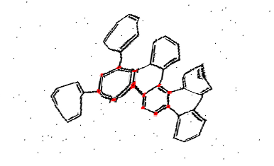 c1ccc(-c2cc(-c3ccccc3)nc(-c3ccccc3-c3ccccc3-c3ccccc3-c3ccc4c5ccccc5c5ccccc5c4c3)n2)cc1